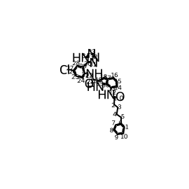 O=C(CCCCc1ccccc1)Nc1cccc2cc(C(=O)Nc3ccc(Cl)cc3-c3nnn[nH]3)[nH]c12